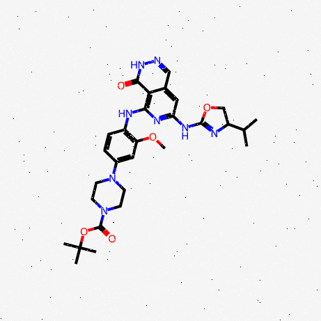 COc1cc(N2CCN(C(=O)OC(C)(C)C)CC2)ccc1Nc1nc(NC2=NC(C(C)C)CO2)cc2cn[nH]c(=O)c12